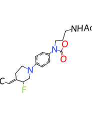 CC(=O)NCC1CN(c2ccc(N3CCC(=CC#N)C(F)C3)cc2)C(=O)O1